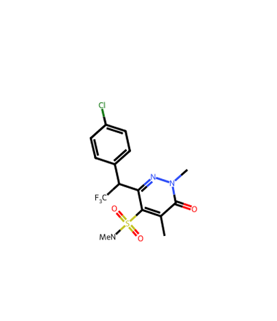 CNS(=O)(=O)c1c(C(c2ccc(Cl)cc2)C(F)(F)F)nn(C)c(=O)c1C